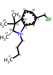 CCCCN1c2cc(CBr)ccc2C(C)(C)[C@H]1C